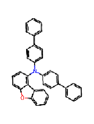 c1ccc(-c2ccc(N(c3ccc(-c4ccccc4)cc3)c3cccc4oc5ccccc5c34)cc2)cc1